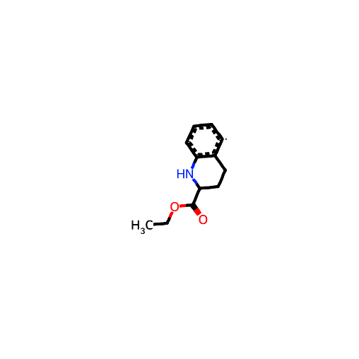 CCOC(=O)C1CCc2[c]cccc2N1